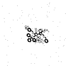 COc1ccc(COC2C(O)C(c3cn(COCc4ccccc4)c4c(OC)ncnc34)N(C(=O)OC(C)(C)C)C2COC(c2ccccc2)(c2ccccc2)c2ccccc2)cc1